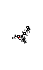 O=C(Nc1cc(F)c(CC(=O)C(O[C@H]2CC[C@H](C(=O)O)CC2)(N2CCCC2)N2C[C@@H]3CS(=O)(=O)C[C@@H]3C2)cc1Cl)c1coc2ccccc12